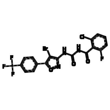 O=C(NC(=O)c1c(F)cccc1Cl)Nc1noc(-c2ccc(C(F)(F)F)cc2)c1Br